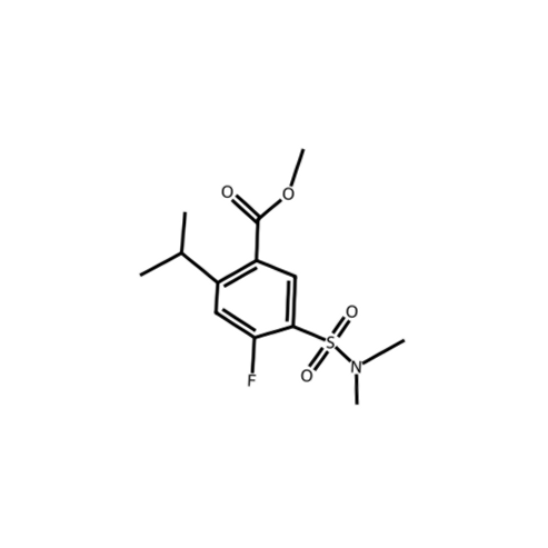 COC(=O)c1cc(S(=O)(=O)N(C)C)c(F)cc1C(C)C